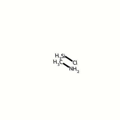 CN.[SiH3]Cl